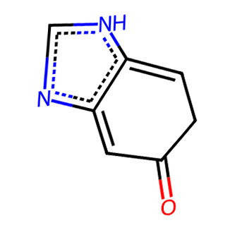 O=C1C=c2nc[nH]c2=CC1